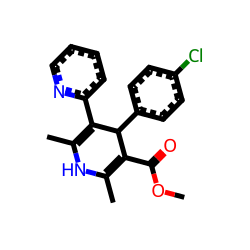 COC(=O)C1=C(C)NC(C)=C(c2ccccn2)C1c1ccc(Cl)cc1